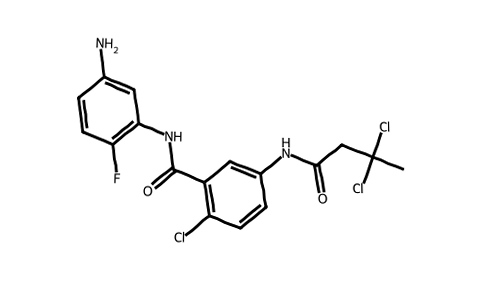 CC(Cl)(Cl)CC(=O)Nc1ccc(Cl)c(C(=O)Nc2cc(N)ccc2F)c1